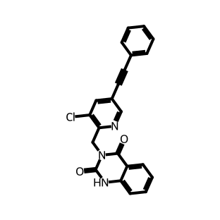 O=c1[nH]c2ccccc2c(=O)n1Cc1ncc(C#Cc2ccccc2)cc1Cl